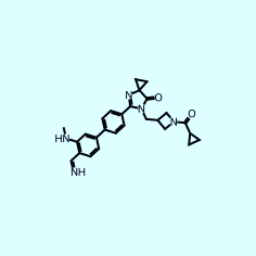 CNc1cc(-c2ccc(C3=NC4(CC4)C(=O)N3CC3CN(C(=O)C4CC4)C3)cc2)ccc1C=N